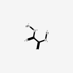 C=C(OCC)C(=O)OCCC